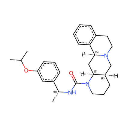 CC(C)Oc1cccc([C@@H](C)NC(=O)N2CCC[C@@H]3CN4CCc5ccccc5[C@@H]4C[C@@H]32)c1